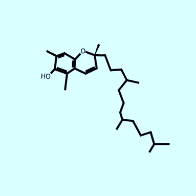 Cc1cc2c(c(C)c1O)C=C[C@@](C)(CCCC(C)CCCC(C)CCCC(C)C)O2